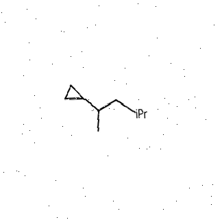 CC(C)CC(C)C1CC1